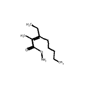 CCCCCC(CC)=C(C)C(=O)ON